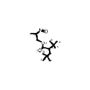 CC(COC(=O)C(CC(C)(C)C)C(C)(C)C)N=O